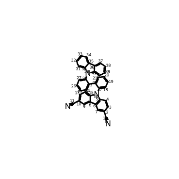 N#Cc1ccc2c(c1)c1cc(C#N)ccc1n2-c1ccccc1-c1ccccc1-n1c2ccccc2c2ccccc21